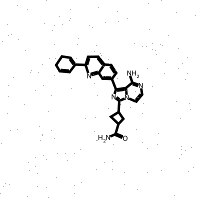 NC(=O)C1CC(c2nc(-c3ccc4ccc(C5=CCCC=C5)nc4c3)c3c(N)nccn23)C1